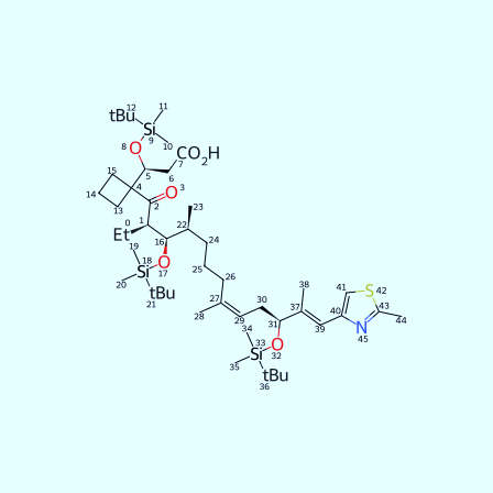 CC[C@@H](C(=O)C1([C@H](CC(=O)O)O[Si](C)(C)C(C)(C)C)CCC1)[C@H](O[Si](C)(C)C(C)(C)C)[C@@H](C)CCC/C(C)=C\C[C@H](O[Si](C)(C)C(C)(C)C)/C(C)=C/c1csc(C)n1